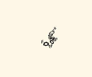 CN(C)CN1CCc2ccc(NS(=O)(=O)c3ccc(CN(C)c4ccc(F)cc4)cc3)cc2CC1.Cl